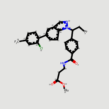 CC(C)CC(c1ccc(C(=O)NCCC(=O)OC(C)(C)C)cc1)n1ncc2cc(-c3ccc(C(F)(F)F)cc3Cl)ccc21